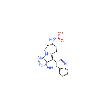 Nc1ncnc2c1c(-c1cnc3ccccc3c1)c1n2CCC(NC(=O)O)CC1